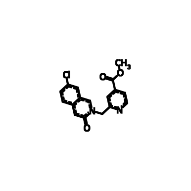 COC(=O)c1ccnc(Cn2cc3cc(Cl)ccc3cc2=O)c1